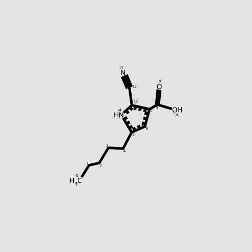 CCCCCc1cc(C(=O)O)c(C#N)[nH]1